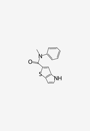 CN(C(=O)c1cc2[nH]ccc2s1)c1ccccc1